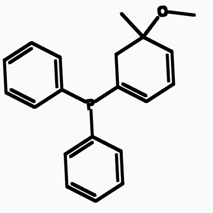 COC1(C)C=CC=C(P(c2ccccc2)c2ccccc2)C1